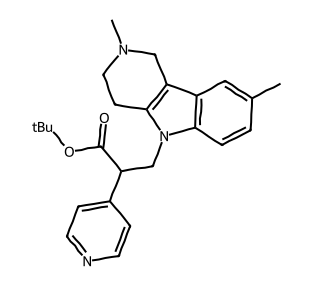 Cc1ccc2c(c1)c1c(n2CC(C(=O)OC(C)(C)C)c2ccncc2)CCN(C)C1